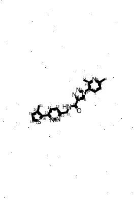 Cc1ccc(-n2cc(C(=O)NCc3ccc(-c4sccc4C)nn3)nn2)c(C)n1